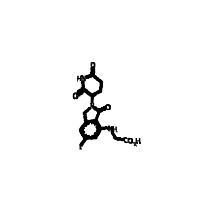 O=C(O)CNc1cc(I)cc2c1C(=O)N(C1CCC(=O)NC1=O)C2